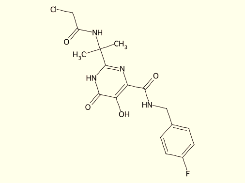 CC(C)(NC(=O)CCl)c1nc(C(=O)NCc2ccc(F)cc2)c(O)c(=O)[nH]1